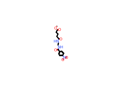 COC(=O)CCCC(=O)NCCNC(=O)c1ccc([N+](=O)[O-])cc1